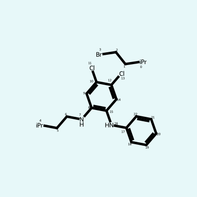 CC(C)CCBr.CC(C)CCNc1cc(Cl)c(Cl)cc1Nc1ccccc1